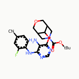 [C-]#[N+]c1ccc(Nc2ncnc(OC3C4COCC3CN(C(=O)OC(C)(C)C)C4)c2N)c(F)c1